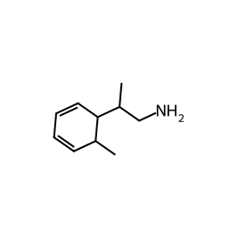 CC1C=CC=CC1C(C)CN